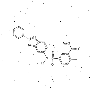 CCN(c1ccc2oc(-c3ccccc3)nc2c1)S(=O)(=O)c1ccc(C)c(C(=O)OC)c1